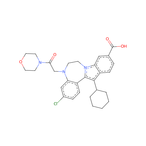 O=C(O)c1ccc2c(C3CCCCC3)c3n(c2c1)CCN(CC(=O)N1CCOCC1)c1cc(Cl)ccc1-3